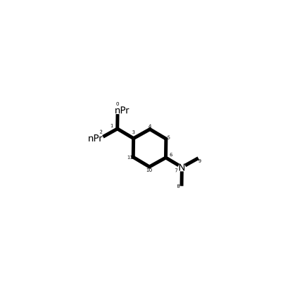 CCCC(CCC)C1CCC(N(C)C)CC1